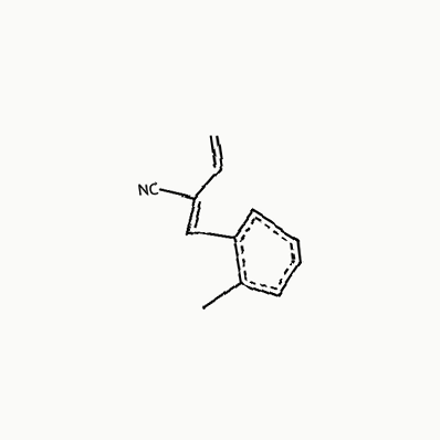 C=CC(C#N)=Cc1ccccc1C